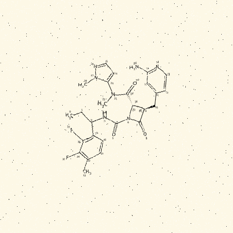 CCC(NC(=O)N1C(=O)[C@H](Cc2ccnc(N)c2)[C@H]1C(=O)N(C)c1ccnn1C)c1ccc(C)c(F)c1F